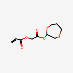 C=CC(=O)OCC(=O)OC1CSCCCO1